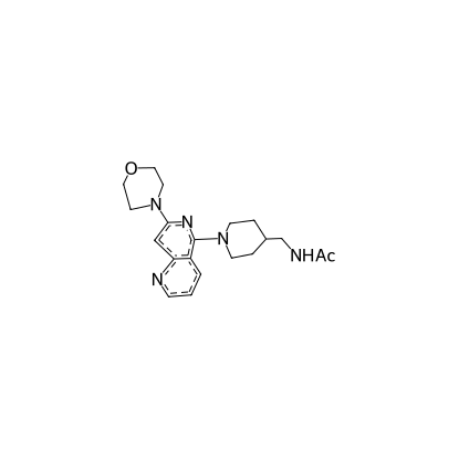 CC(=O)NCC1CCN(c2nc(N3CCOCC3)cc3ncccc23)CC1